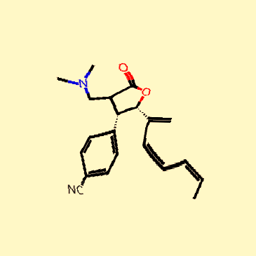 C=C(/C=C\C=C/C)[C@H]1OC(=O)C(CN(C)C)[C@H]1c1ccc(C#N)cc1